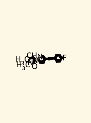 CN1C(=O)N(c2ccc(C#Cc3ccc(F)cc3)cn2)CC1(C)C